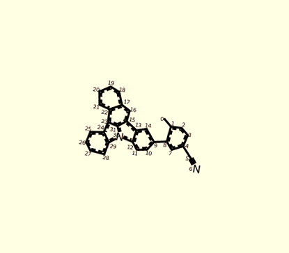 Cc1ccc(C#N)cc1-c1ccc2c(c1)c1cc3ccccc3c3c4ccccc4n2c13